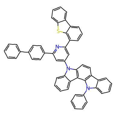 c1ccc(-c2ccc(-c3cc(-n4c5ccccc5c5c4ccc4c6ccccc6n(-c6ccccc6)c45)cc(-c4cccc5c4sc4ccccc45)n3)cc2)cc1